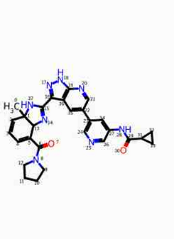 CC12C=CC=C(C(=O)N3CCCC3)C1N=C(c1n[nH]c3ncc(-c4cncc(NC(=O)C5CC5)c4)cc13)N2